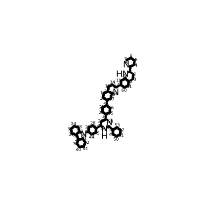 C1=CC(c2ccccn2)Nc2cc(-c3ccc4ccc(-c5ccc(C6=CC(c7ccc(-n8c9ccccc9c9ccccc98)cc7)NC(c7ccccc7)=N6)cc5)cc4n3)ccc21